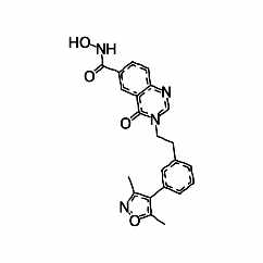 Cc1noc(C)c1-c1cccc(CCn2cnc3ccc(C(=O)NO)cc3c2=O)c1